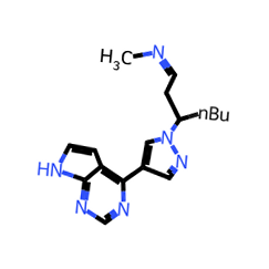 CCCCC(C/C=N\C)n1cc(-c2ncnc3[nH]ccc23)cn1